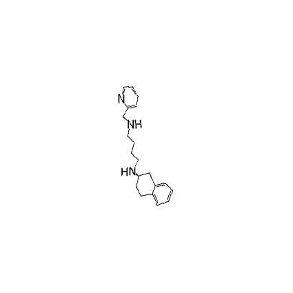 c1ccc(CNCCCCN[C@@H]2CCc3ccccc3C2)nc1